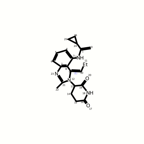 C=C(Nc1cccc2c1/C(=C\CC)N(C1CCC(=O)NC1=O)C(C)=N2)C1CC1